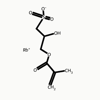 C=C(C)C(=O)OCC(O)CS(=O)(=O)[O-].[Rb+]